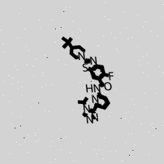 CC(C)n1cnnc1-c1cccc(NC(=O)c2cc3sc(N4CCC(C(C)(C)C)CC4)nc3cc2F)n1